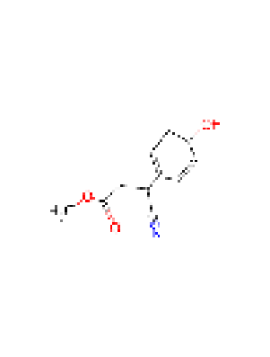 COC(=O)CC(C#N)C1=CCC(O)C=C1